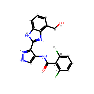 O=C(Nc1c[nH]nc1-c1nc2c(CO)cccc2[nH]1)c1c(F)cccc1F